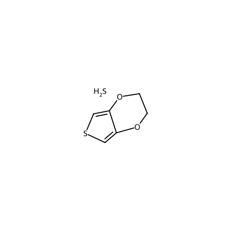 S.c1scc2c1OCCO2